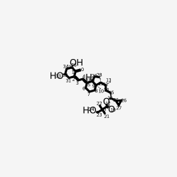 C=C1/C(=C\C=C2/CCC[C@]3(C)[C@@H]([C@H](C)CC[C@H](OC(=O)C(C)(C)CO)C4CC4)CC[C@@H]23)C[C@@H](O)C[C@@H]1O